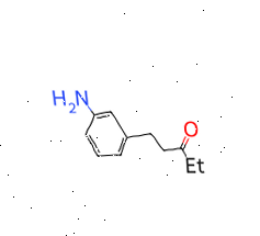 CCC(=O)CCc1cccc(N)c1